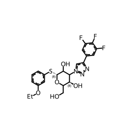 CCOc1cccc(S[C@H]2OC(CO)[C@H](O)C(n3cc(-c4cc(F)c(F)c(F)c4)nn3)C2O)c1